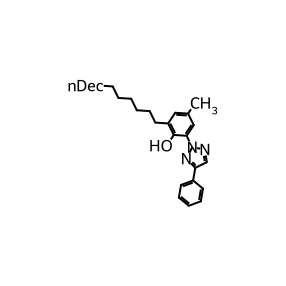 CCCCCCCCCCCCCCCCc1cc(C)cc(-n2ncc(-c3ccccc3)n2)c1O